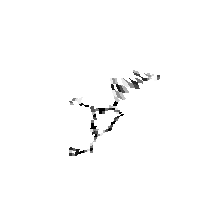 CCOc1ccc(CCl)cc1Cl